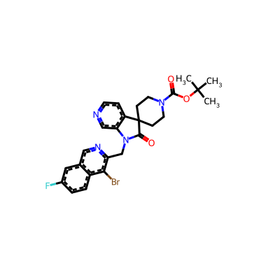 CC(C)(C)OC(=O)N1CCC2(CC1)C(=O)N(Cc1ncc3cc(F)ccc3c1Br)c1cnccc12